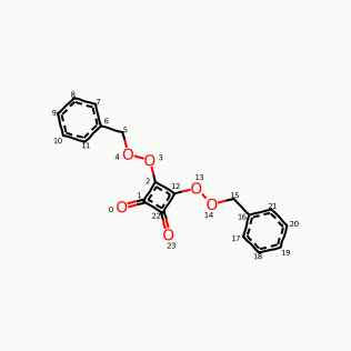 O=c1c(OOCc2ccccc2)c(OOCc2ccccc2)c1=O